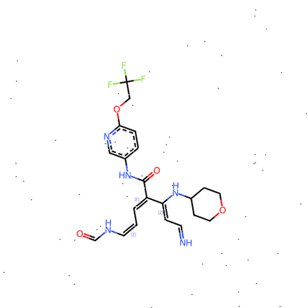 N=C/C=C(NC1CCOCC1)/C(=C\C=C/NC=O)C(=O)Nc1ccc(OCC(F)(F)F)nc1